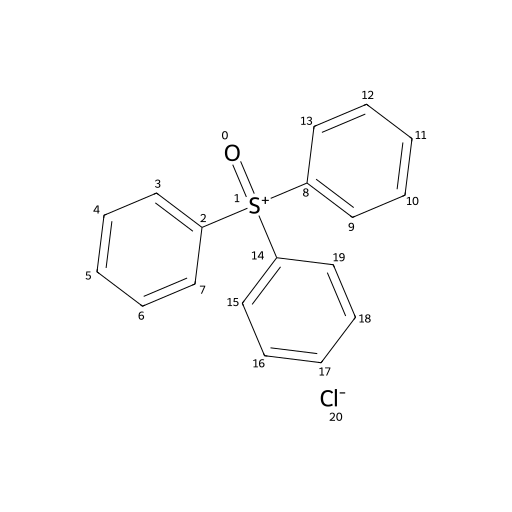 O=[S+](c1ccccc1)(c1ccccc1)c1ccccc1.[Cl-]